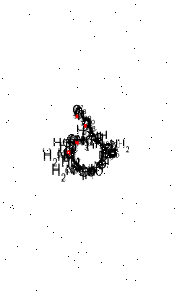 CC(C)C[C@@H]1NC(=O)[C@@H](Cc2ccccc2)NC(=O)[C@H](CCN)NC(=O)[C@@H](NC(=O)Cc2ccc(N3CCOCC3)cc2)CCNC(=O)[C@H]([C@@H](C)O)NC(=O)[C@H](CCN)NC[C@@](C=O)(CCN)NC1=O